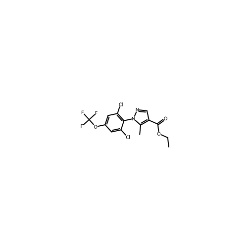 CCOC(=O)c1cnn(-c2c(Cl)cc(OC(F)(F)F)cc2Cl)c1C